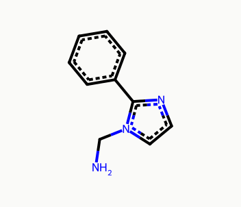 NCn1ccnc1-c1ccccc1